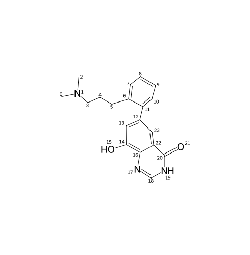 CN(C)CCCc1ccccc1-c1cc(O)c2nc[nH]c(=O)c2c1